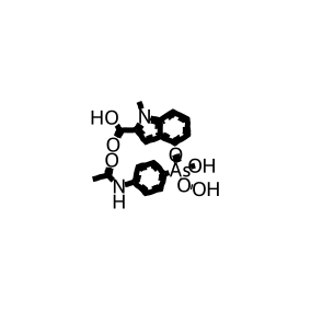 CC(=O)Nc1ccc([As](=O)(O)OO)cc1.Cn1c(C(=O)O)cc2ccccc21